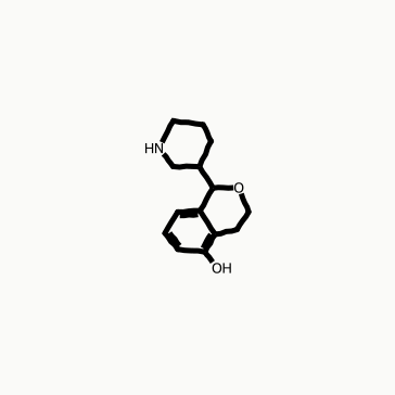 Oc1cccc2c1CCOC2C1CCCNC1